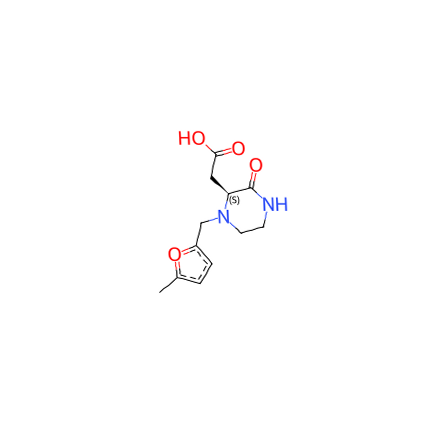 Cc1ccc(CN2CCNC(=O)[C@@H]2CC(=O)O)o1